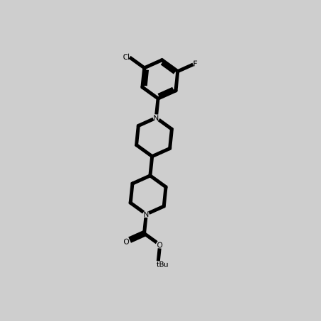 CC(C)(C)OC(=O)N1CCC(C2CCN(c3cc(F)cc(Cl)c3)CC2)CC1